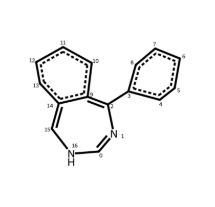 C1=NC(c2ccccc2)=c2ccccc2=CN1